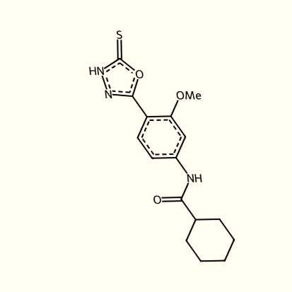 COc1cc(NC(=O)C2CCCCC2)ccc1-c1n[nH]c(=S)o1